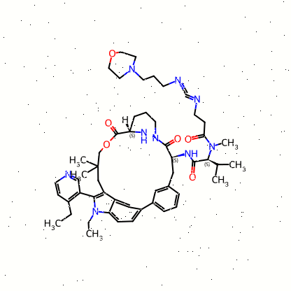 CCc1ccncc1-c1c2c3cc(ccc3n1CC)-c1cccc(c1)C[C@H](NC(=O)[C@H](C(C)C)N(C)C(=O)CCN=C=NCCCN1CCOCC1)C(=O)N1CCC[C@H](N1)C(=O)OCC(C)(C)C2